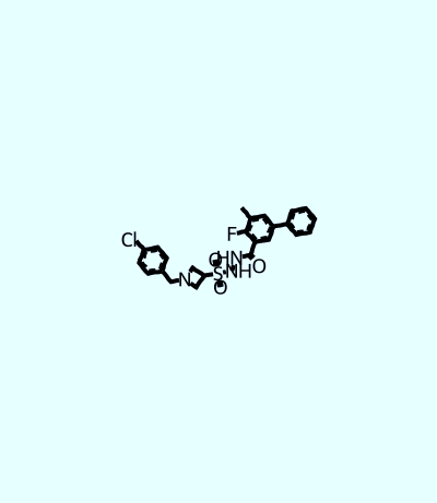 Cc1cc(-c2ccccc2)cc(C(=O)NNS(=O)(=O)C2CN(Cc3ccc(Cl)cc3)C2)c1F